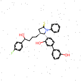 Oc1cccc(-c2ccc([C@@H]3[C@@H](CCCC(O)c4ccc(F)cc4)CC(=S)N3c3ccccc3)c(O)c2)c1